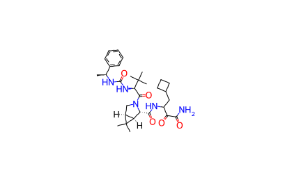 C[C@H](NC(=O)N[C@H](C(=O)N1C[C@H]2[C@@H]([C@H]1C(=O)NC(CC1CCC1)C(=O)C(N)=O)C2(C)C)C(C)(C)C)c1ccccc1